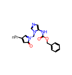 CCCC1=CC(=O)[N+](Cn2cncc2NC(=O)OCc2ccccc2)=C1